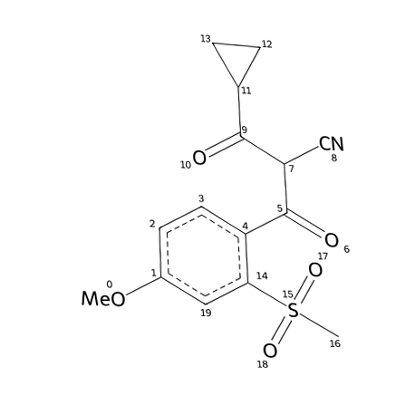 COc1ccc(C(=O)C(C#N)C(=O)C2CC2)c(S(C)(=O)=O)c1